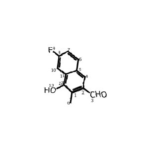 Cc1c(C=O)cc2ccc(F)cc2c1O